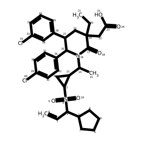 C=CC(C1CCCC1)S(=O)(=O)C1CC1C(C)N1C(=O)C(CC)(CC(=O)O)CC(c2cccc(Cl)c2)C1c1ccc(Cl)cc1